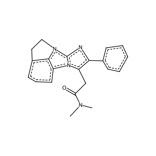 CN(C)C(=O)Cc1c(-c2ccccc2)nc2n3c4c(cccc4n12)CC3